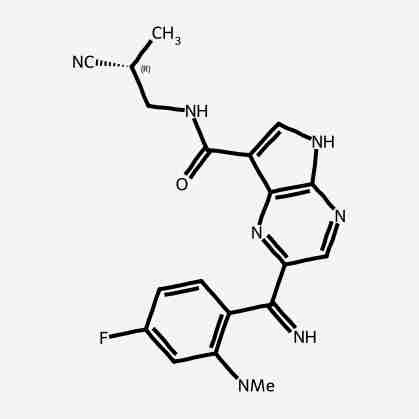 CNc1cc(F)ccc1C(=N)c1cnc2[nH]cc(C(=O)NC[C@@H](C)C#N)c2n1